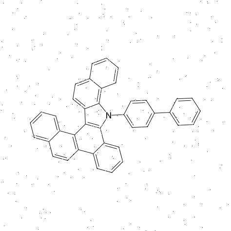 c1ccc(-c2ccc(-n3c4c5ccccc5ccc4c4c5c6ccccc6ccc5c5ccccc5c43)cc2)cc1